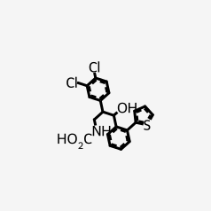 O=C(O)NCC(c1ccc(Cl)c(Cl)c1)C(O)c1ccccc1-c1cccs1